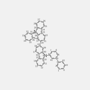 c1ccc(-c2cccc(-n3c4ccccc4c4ccc(-c5ccc6c7ccccc7n7c8ccccc8c5c67)cc43)c2)cc1